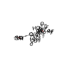 CC(C)(C(NC(=O)OC1COC1)C(=O)N[C@@H](Cc1ccc(C#Cc2ccc(N3CC4CCC(C3)N4C3COC3)nc2)cc1)[C@@H](O)CN(Cc1c(F)cc(-c2ccn(C(F)F)n2)cc1F)NC(=O)[C@@H](N(C(=O)O)C1COC1)C(C)(C)C(F)(F)F)C(F)(F)F